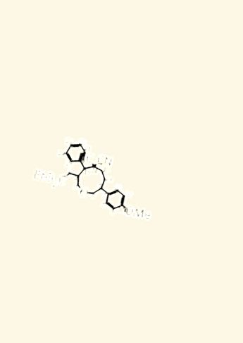 CCOC(=O)CC1COCC(c2ccc(OC)cc2)CCC(C#N)(C#N)C1c1ccccc1